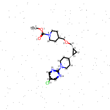 CC(C)(C)OC(=O)N1CCC(COC[C@@H]2C[C@@H]2C2CCN(c3ncc(Cl)cn3)CC2)CC1